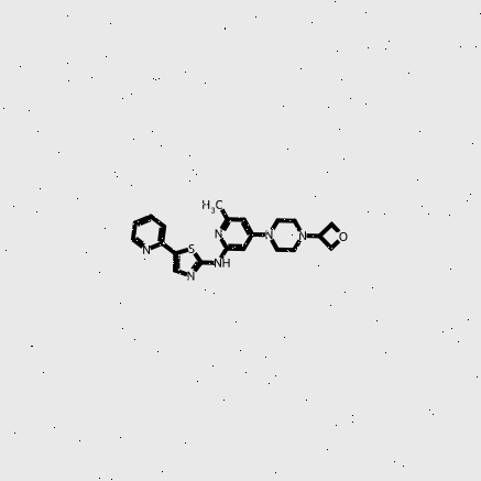 Cc1cc(N2CCN(C3COC3)CC2)cc(Nc2ncc(-c3ccccn3)s2)n1